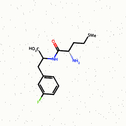 CSCC[C@H](N)C(=O)NC(Cc1cccc(F)c1)C(=O)O